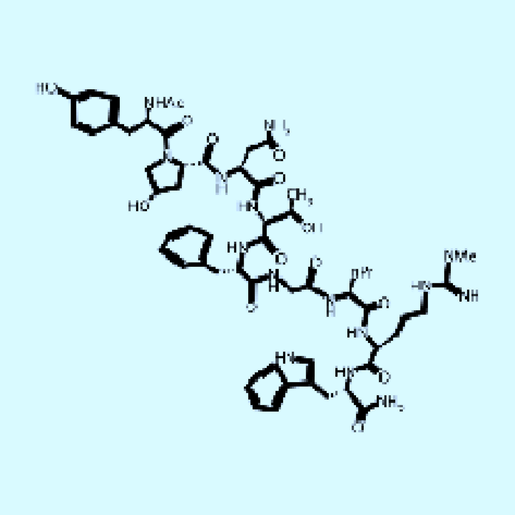 CCC[C@H](NC(=O)CNC(=O)[C@H](Cc1ccccc1)NC(=O)[C@@H](NC(=O)[C@H](CC(N)=O)NC(=O)[C@@H]1C[C@@H](O)CN1C(=O)[C@@H](Cc1ccc(O)cc1)NC(C)=O)[C@@H](C)O)C(=O)N[C@@H](CCCNC(=N)NC)C(=O)N[C@@H](Cc1c[nH]c2ccccc12)C(N)=O